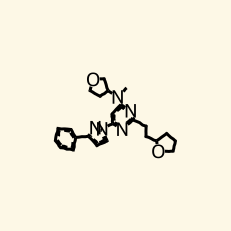 CN(c1cc(-n2ccc(-c3ccccc3)n2)nc(CCC2CCCO2)n1)C1CCOC1